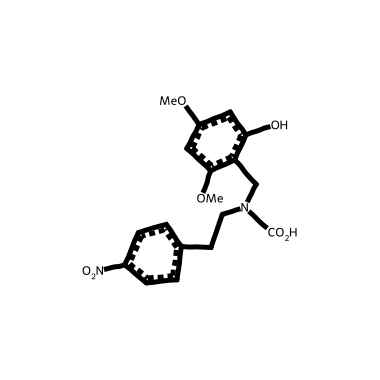 COc1cc(O)c(CN(CCc2ccc([N+](=O)[O-])cc2)C(=O)O)c(OC)c1